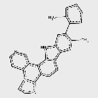 Cc1ccccc1-c1cc2[nH]c3c(ccc4c3c3cnccc3n3ccnc43)c2cc1C